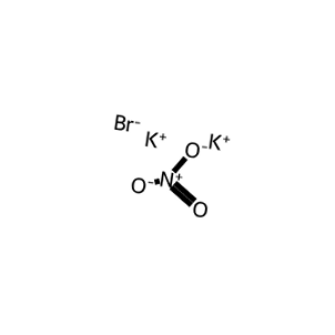 O=[N+]([O-])[O-].[Br-].[K+].[K+]